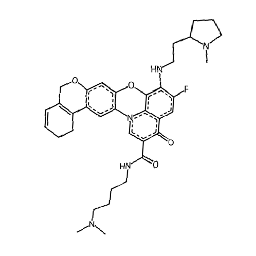 CN(C)CCCCNC(=O)c1cn2c3c(c(NCCC4CCCN4C)c(F)cc3c1=O)Oc1cc3c(cc1-2)C1=C(C=CCC1)CO3